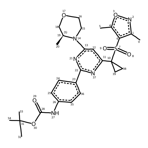 Cc1noc(C)c1S(=O)(=O)C1(c2cc(N3CCOC[C@@H]3C)nc(-c3ccc(NC(=O)OC(C)(C)C)cc3)n2)CC1